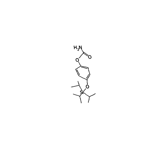 CC(C)[Si](Oc1ccc(OC(N)=O)cc1)(C(C)C)C(C)C